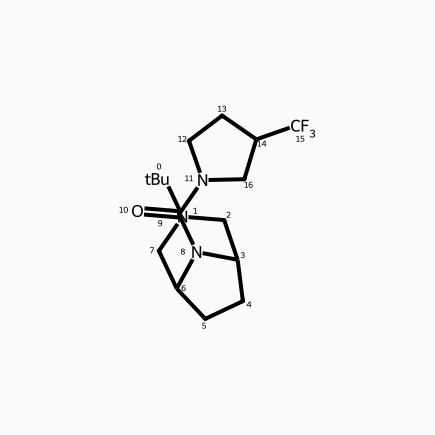 CC(C)(C)N1CC2CCC(C1)N2C(=O)N1CCC(C(F)(F)F)C1